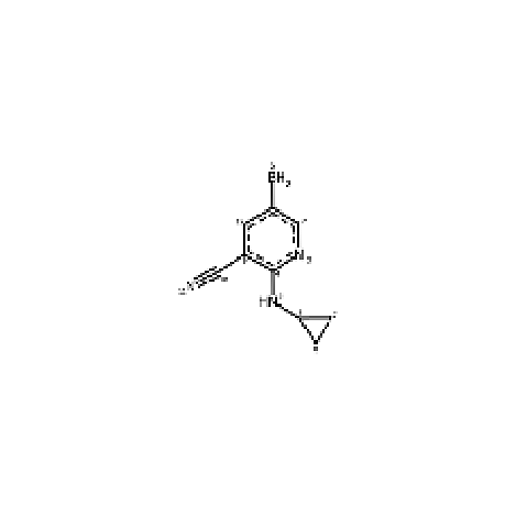 Bc1cnc(NC2CC2)c(C#N)c1